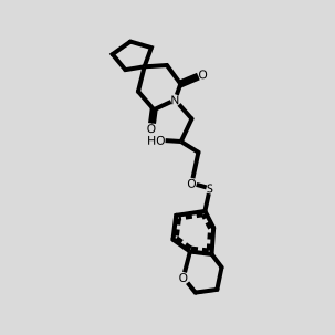 O=C1CC2(CCCC2)CC(=O)N1CC(O)COSc1ccc2c(c1)CCCO2